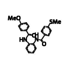 COc1ccc(C(=O)Nc2ccccc2NC(=O)c2ccc(SC)cc2)cc1